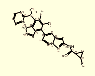 CN(c1ncccn1)c1c(F)c(Cl)c(-c2ccn3nc(NC(=O)C4CC4F)cc3c2)c2cn[nH]c12